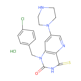 Cl.O=c1[nH]c(=S)c2ncc(N3CCNCC3)cc2n1Cc1ccc(Cl)cc1